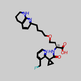 O=C(O)[C@H](CCOCCCCc1ccc2c(n1)NCCC2)NC(=O)C1(c2ncccc2CF)CC1